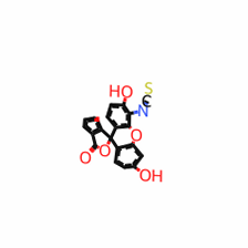 O=C1OC2(c3ccc(O)cc3Oc3c2ccc(O)c3N=C=S)c2ccccc21